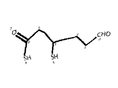 O=CCCC(S)CC(=O)S